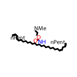 CCCCC/C=C\C/C=C\CCCCCCCCC(CCCCCCCC/C=C\C/C=C\CCCCC)NC(=O)OCCCNC